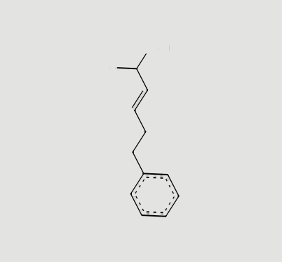 O=C(O)C(O)C=CCCc1ccccc1